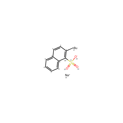 CCCCc1ccc2ccccc2c1S(=O)(=O)[O-].[Na+]